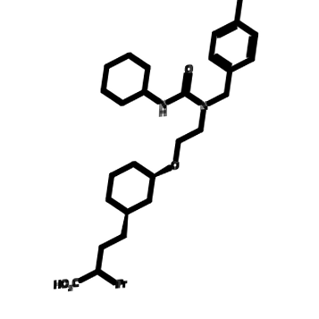 Cc1ccc(CN(CCO[C@@H]2CCC[C@H](CCC(C(=O)O)C(C)C)C2)C(=O)NC2CCCCC2)cc1